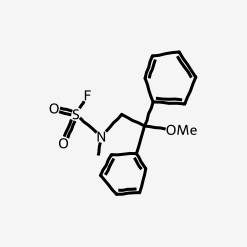 COC(CN(C)S(=O)(=O)F)(c1ccccc1)c1ccccc1